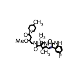 COC(CNC(=O)c1c(C)[nH]c(/C=C2\C(=O)Nc3ccc(F)cc32)c1C)CC(=O)N1CCC(C)CC1